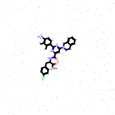 COC(=O)C(Cc1ccc(Cl)cc1)NC(=O)c1cc(N2CCc3ccccc3C2)nc(-c2ccc(N)c(C)c2C)n1